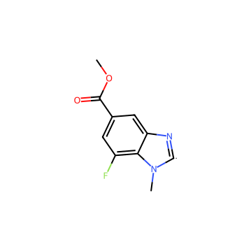 COC(=O)c1cc(F)c2c(c1)n[c]n2C